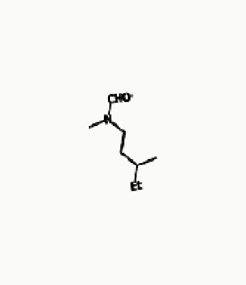 CCC(C)CCN(C)[C]=O